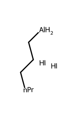 CCCCC[CH2][AlH2].I.I